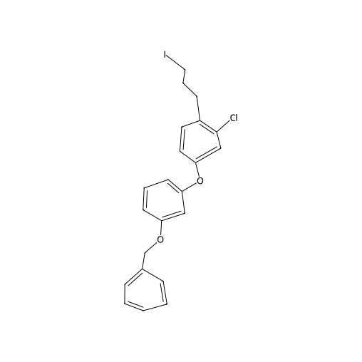 Clc1cc(Oc2cccc(OCc3ccccc3)c2)ccc1CCCI